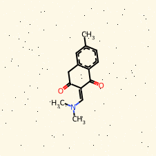 Cc1ccc2c(c1)CC(=O)/C(=C\N(C)C)C2=O